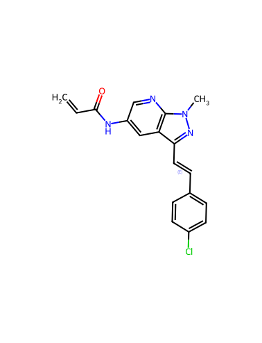 C=CC(=O)Nc1cnc2c(c1)c(/C=C/c1ccc(Cl)cc1)nn2C